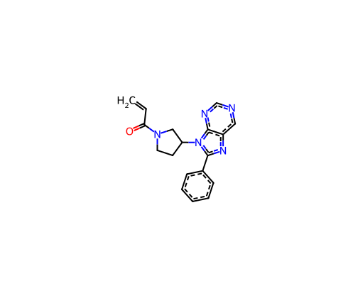 C=CC(=O)N1CCC(n2c(-c3ccccc3)nc3cncnc32)C1